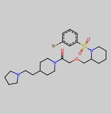 O=C(COCC1CCCCN1S(=O)(=O)c1cccc(Br)c1)N1CCC(CCN2CCCC2)CC1